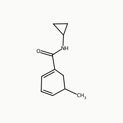 CC1C=CC=C(C(=O)NC2CC2)C1